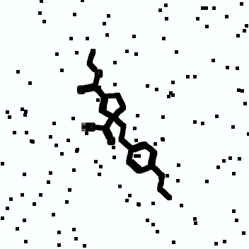 CCCc1ccc(CCC2(C(=O)O)C=C(C(=O)OCC)CC2)cc1